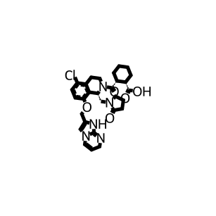 O=C(O)[C@H]1CCCC[C@H]1C(=O)N1CCc2c(Cl)ccc(OCC3=CN4C=CCN=C4N3)c2[C@H]1CN1CCCC1=O